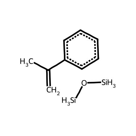 C=C(C)c1ccccc1.[SiH3]O[SiH3]